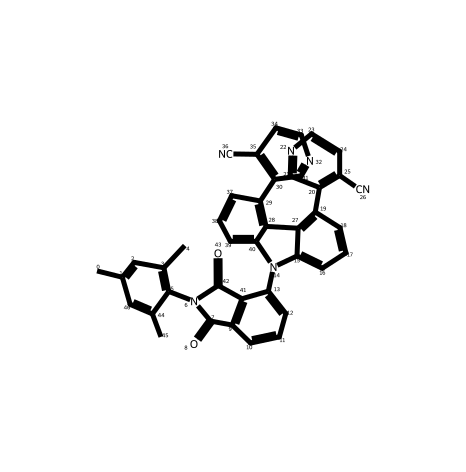 Cc1cc(C)c(N2C(=O)c3cccc(-n4c5cccc(-c6cnccc6C#N)c5c5c(-c6cnccc6C#N)cccc54)c3C2=O)c(C)c1